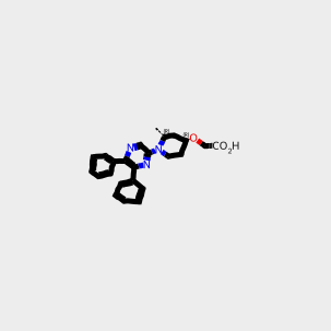 C[C@@H]1C[C@H](OCC(=O)O)CCN1c1cnc(-c2ccccc2)c(-c2ccccc2)n1